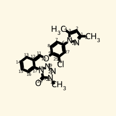 Cc1cc(C)n(-c2ccc(OC=C3CC=CC=C3n3nnn(C)c3=O)c(Cl)c2)n1